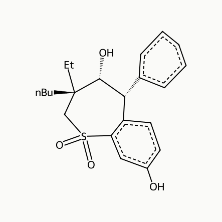 CCCC[C@]1(CC)CS(=O)(=O)c2cc(O)ccc2[C@@H](c2ccccc2)[C@H]1O